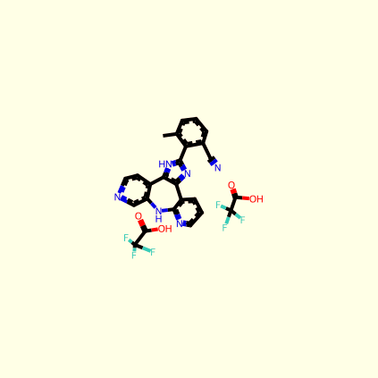 Cc1cccc(C#N)c1-c1nc2c([nH]1)-c1ccncc1Nc1ncccc1-2.O=C(O)C(F)(F)F.O=C(O)C(F)(F)F